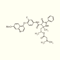 COc1ccc2c(Oc3ccc(NC(=O)C4C(=O)N(c5ccccc5)NC4(C)CC(C)OC(=O)CN(C)C)cc3F)ccnc2c1